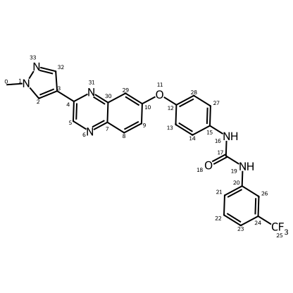 Cn1cc(-c2cnc3ccc(Oc4ccc(NC(=O)Nc5cccc(C(F)(F)F)c5)cc4)cc3n2)cn1